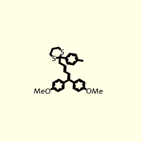 COc1ccc(C(=CC=CCC2(c3ccc(C)cc3)SCCCS2)c2ccc(OC)cc2)cc1